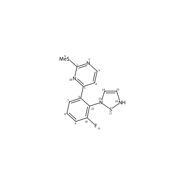 CSc1nccc(-c2cccc(F)c2N2C=CNS2)n1